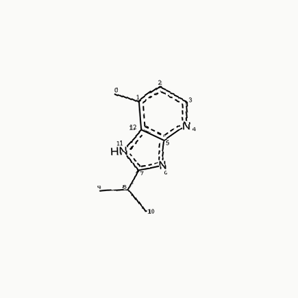 Cc1ccnc2nc(C(C)C)[nH]c12